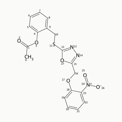 CC(=O)Oc1ccccc1CSc1nnc(COc2ccccc2[N+](=O)[O-])o1